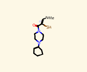 CN/C=C(\S)C(=O)N1CCN(C2CCCCC2)CC1